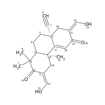 C#C[C@@]12CCC3C(C)(C)C(=O)/C(=C\O)C[C@]3(C)C1=CC(=O)/C(=C\O)C2